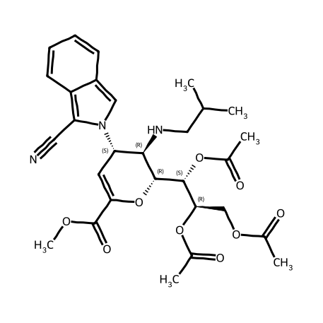 COC(=O)C1=C[C@H](n2cc3ccccc3c2C#N)[C@@H](NCC(C)C)[C@H]([C@H](OC(C)=O)[C@@H](COC(C)=O)OC(C)=O)O1